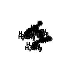 CC(C)(C)CC(C)(C)c1ccc(C=CC2=CC(c3ccc(C(C)(C)CC(C)(C)C)cc3)N(c3ccc(-c4nc5ccccc5o4)cc3)N2)cc1.CC(C)(C)CC(C)(C)c1ccc2oc(-c3ccc(N4NC(C=Cc5ccccc5)=CC4c4ccccc4)cc3)nc2c1